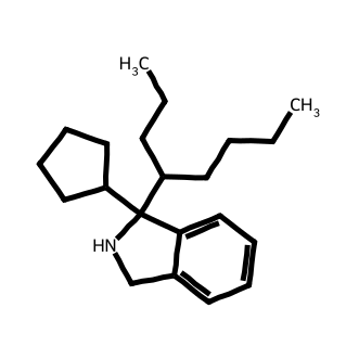 CCCCC(CCC)C1(C2CCCC2)NCc2ccccc21